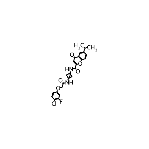 CC(C)c1ccc2oc(C(=O)NC34CC(NC(=O)COc5ccc(Cl)c(F)c5)(C3)C4)cc(=O)c2c1